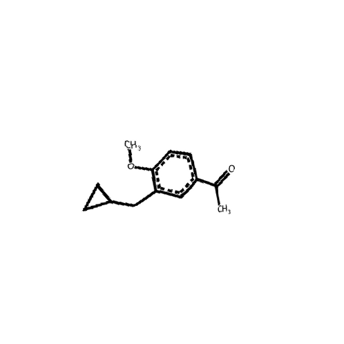 COc1ccc(C(C)=O)cc1CC1CC1